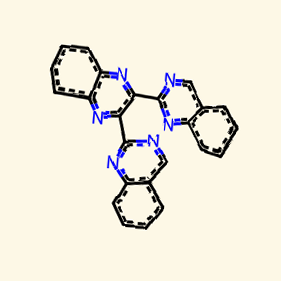 c1ccc2nc(-c3nc4ccccc4nc3-c3ncc4ccccc4n3)ncc2c1